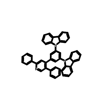 c1ccc(-c2cc(-c3cc(-n4c5ccccc5c5ccccc54)cc(-n4c5ccccc5c5ccccc54)c3)c(-c3ccccc3)cn2)cc1